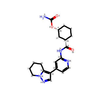 NC(=O)O[C@@H]1CCC[C@H](C(=O)Nc2cc(-c3cnn4c3CCCC4)ccn2)C1